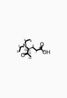 CCN(CC)[C@@H](CCC(=O)O)C(C)=O